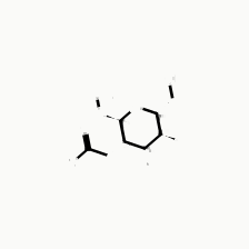 CO[C@H]1O[C@H](CO)[C@@H](O)[C@H](O)[C@@H]1CC(N)=O